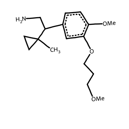 COCCCOc1cc(C(CN)C2(C)CC2)ccc1OC